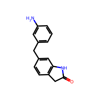 Nc1cccc(Cc2ccc3c(c2)NC(=O)C3)c1